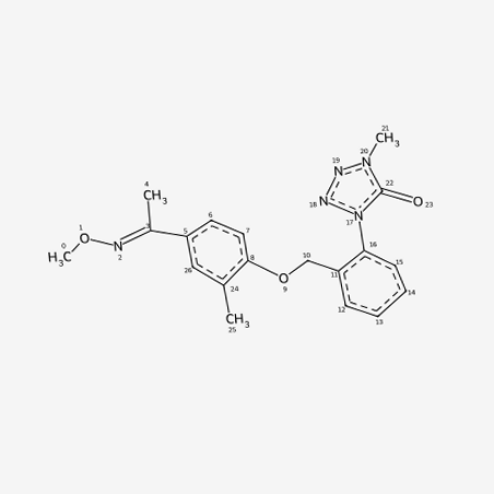 CON=C(C)c1ccc(OCc2ccccc2-n2nnn(C)c2=O)c(C)c1